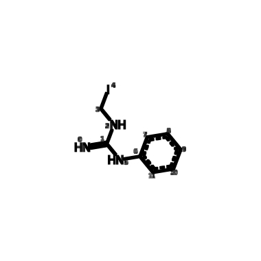 N=C(NCI)Nc1ccccc1